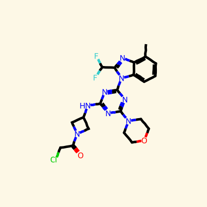 Cc1cccc2c1nc(C(F)F)n2-c1nc(NC2CN(C(=O)CCl)C2)nc(N2CCOCC2)n1